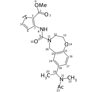 COC(=O)c1sccc1NC(=O)N1CCOc2ccc(C(C)N(C)C(C)=O)cc2C1